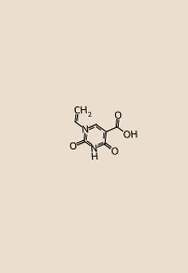 C=Cn1cc(C(=O)O)c(=O)[nH]c1=O